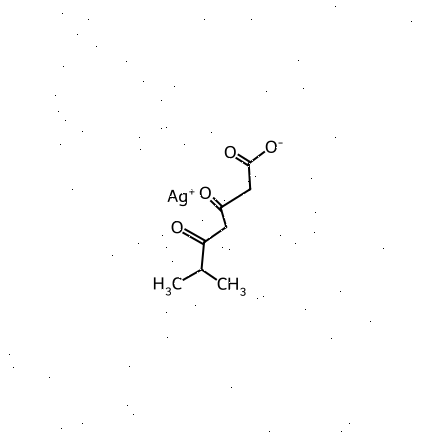 CC(C)C(=O)CC(=O)CC(=O)[O-].[Ag+]